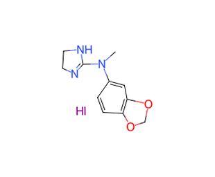 CN(C1=NCCN1)c1ccc2c(c1)OCO2.I